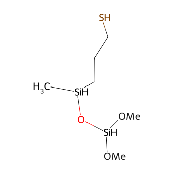 CO[SiH](OC)O[SiH](C)CCCS